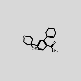 NC(=O)c1ccc(C2(C=O)CCOCC2)cc1C1=CCCCC1